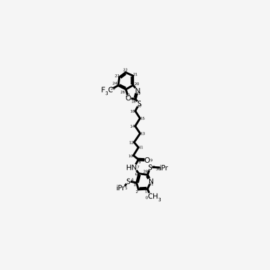 Cc1cc(SC(C)C)c(NC(=O)CCCCCCCSc2nc3cccc(C(F)(F)F)c3o2)c(SC(C)C)n1